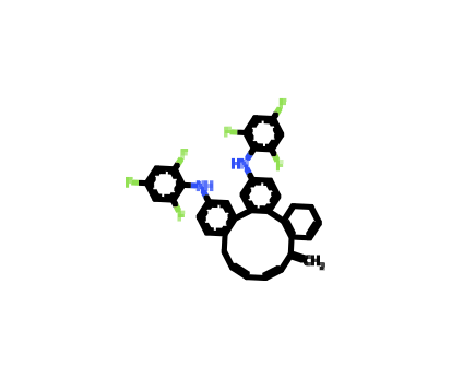 C=C1/C=C\C=C/Cc2ccc(Nc3c(F)cc(F)cc3F)cc2-c2cc(Nc3c(F)cc(F)cc3F)ccc2C2=C1C=CCC2